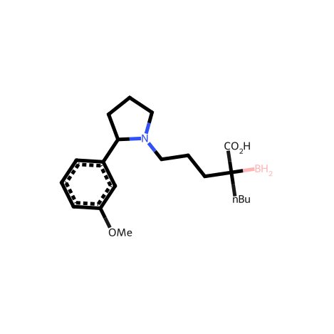 BC(CCCC)(CCCN1CCCC1c1cccc(OC)c1)C(=O)O